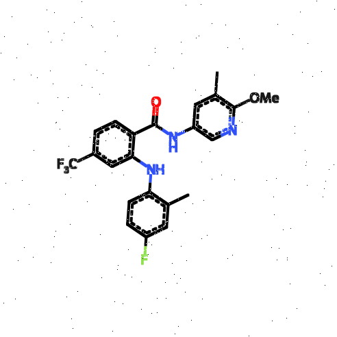 COc1ncc(NC(=O)c2ccc(C(F)(F)F)cc2Nc2ccc(F)cc2C)cc1C